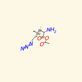 CC(=O)O[C@@H]1OC(CN=[N+]=[N-])[C@@H](C)[C@H](C)C1N